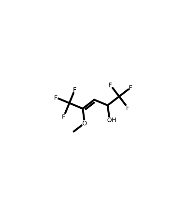 CO/C(=C\C(O)C(F)(F)F)C(F)(F)F